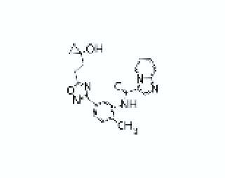 Cc1ccc(-c2noc(CCC3(O)CC3)n2)cc1NC(=O)c1cnc2ccccn12